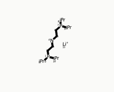 CC(C)P(CC[N-]CCP(C(C)C)C(C)C)C(C)C.[Li+]